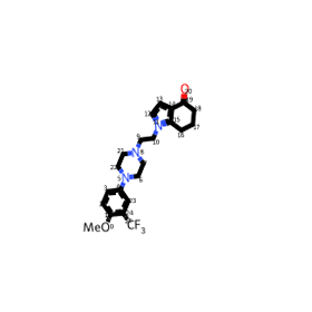 COc1ccc(N2CCN(CCn3ccc4c3CCCC4=O)CC2)cc1C(F)(F)F